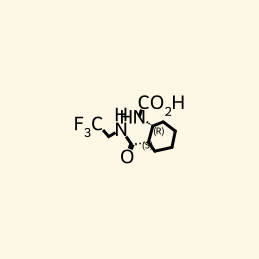 O=C(O)N[C@@H]1CCCC[C@@H]1C(=O)NCC(F)(F)F